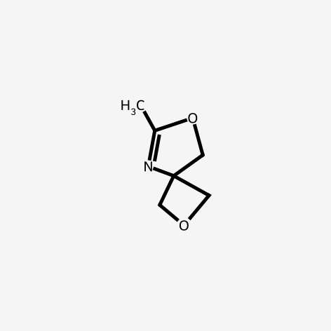 CC1=NC2(COC2)CO1